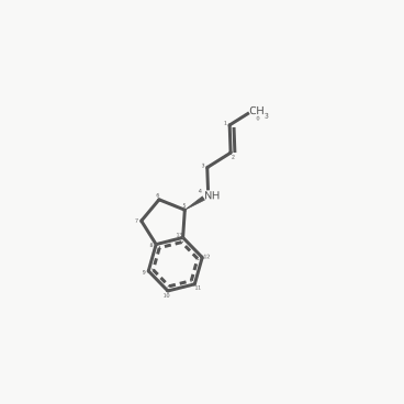 C/C=C/CN[C@@H]1CCc2ccccc21